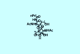 CCCC(=O)N[C@@H]1OC(CO)[C@@H](O[C@@H]2OC(CO)[C@@H](O)[C@H](O)C2NC(C)=O)[C@H](O)C1NC(C)=O